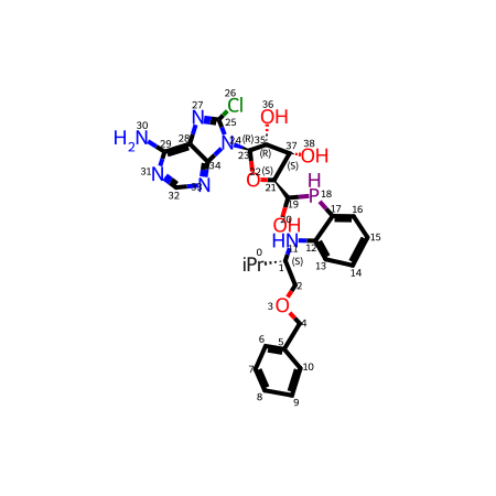 CC(C)[C@@H](COCc1ccccc1)Nc1ccccc1PC(O)[C@H]1O[C@@H](n2c(Cl)nc3c(N)ncnc32)[C@H](O)[C@@H]1O